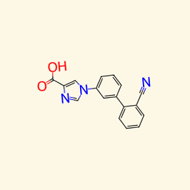 N#Cc1ccccc1-c1cccc(-n2cnc(C(=O)O)c2)c1